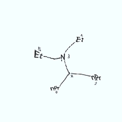 [CH2]CCC(CCC)N(CC)CC